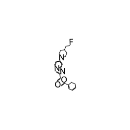 FCCC1CCN(c2ccn3cc(C4=COC=C(C5=CC=CCC5)O4)nc3c2)CC1